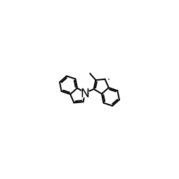 CC1=C(n2ccc3ccccc32)c2ccccc2[CH]1